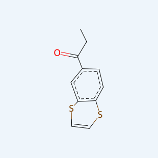 CCC(=O)c1ccc2c(c1)SC=CS2